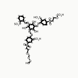 O=S(=O)(O)OCCS(=O)(=O)c1ccc(/N=N/c2c(O)c(/N=N/c3ccccc3S(=O)(=O)O)c(O)c(/N=N/c3ccc(S(=O)(=O)CCOSOOO)cc3S(=O)(=O)O)c2O)c(S(=O)(=O)O)c1